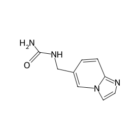 NC(=O)NCc1ccc2nccn2c1